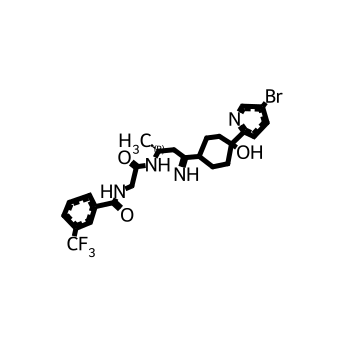 C[C@H](CC(=N)C1CCC(O)(c2ccc(Br)cn2)CC1)NC(=O)CNC(=O)c1cccc(C(F)(F)F)c1